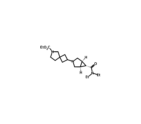 CCOC(=O)N1CCC2(CC(N3C[C@@H]4[C@H](C3)[C@H]4C(=O)N(CC)CC)C2)C1